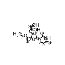 C=COC(Br)[C@H]1O[C@@H](n2ccc(=O)[nH]c2=O)C[C@@H]1OP(=O)(O)O